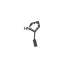 [C]#Cc1ccc[nH]1